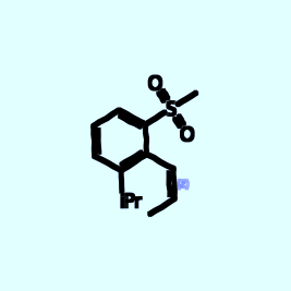 C/C=C\c1c(C(C)C)cccc1S(C)(=O)=O